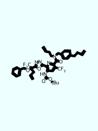 C=CCCc1ccc(CN(CCC=C)C(=O)c2nc(-c3nnc(C(CC=C)(OCc4ccccc4)C(F)(F)F)o3)c(NC(=O)OC(C)(C)C)cc2C(F)(F)F)cc1